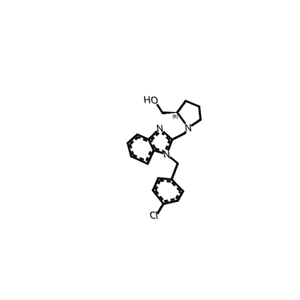 OC[C@H]1CCCN1Cc1nc2ccccc2n1Cc1ccc(Cl)cc1